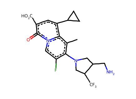 Cc1c(N2CC(CN)C(C(F)(F)F)C2)c(F)cn2c(=O)c(C(=O)O)cc(C3CC3)c12